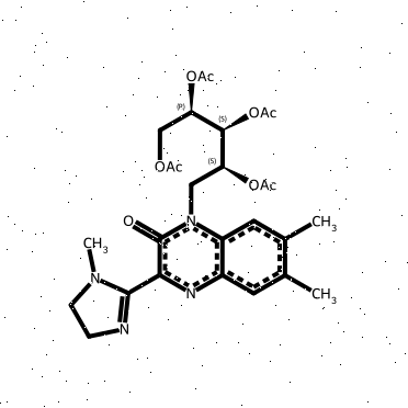 CC(=O)OC[C@@H](OC(C)=O)[C@@H](OC(C)=O)[C@H](Cn1c(=O)c(C2=NCCN2C)nc2cc(C)c(C)cc21)OC(C)=O